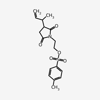 C=CC(C)C1CC(=O)N(CCOS(=O)(=O)c2ccc(C)cc2)C1=O